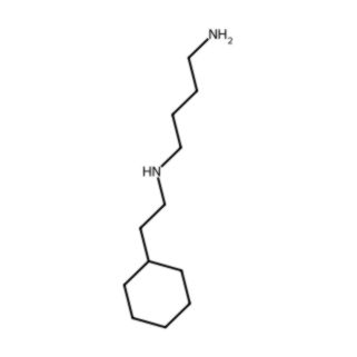 NCCCCNCCC1CCCCC1